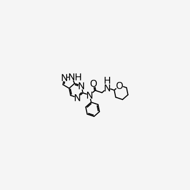 O=C(CNC1CCCCO1)N(c1ccccc1)c1ncc2cn[nH]c2n1